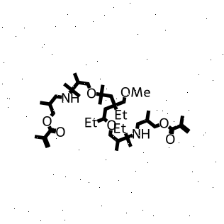 C=C(C)C(=O)OCC(C)CNC(C)(C)C(C)COC(C)(C)CC(CC)(COC)CC(CC)OCC(C)C(C)(CC)NCC(C)COC(=O)C(=C)C